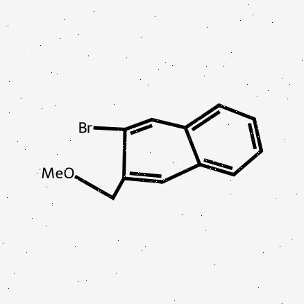 COCc1cc2ccccc2cc1Br